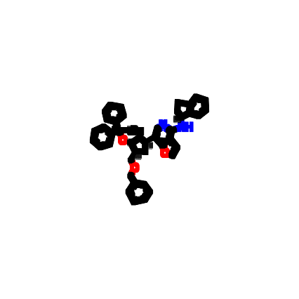 CC(C)(C)[Si](O[C@@H]1C[C@@H](c2cnc(N[C@H]3CCc4ccccc43)c3ccoc23)C[C@H]1COCc1ccccc1)(c1ccccc1)c1ccccc1